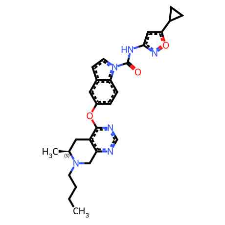 CCCCN1Cc2ncnc(Oc3ccc4c(ccn4C(=O)Nc4cc(C5CC5)on4)c3)c2C[C@@H]1C